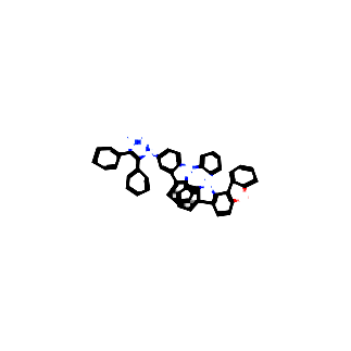 c1ccc(-c2nnn(-c3ccc4c(c3)c3ccccc3n4-c3ccccc3-n3c4ccccc4c4ccc5oc6ccccc6c5c43)c2-c2ccccc2)cc1